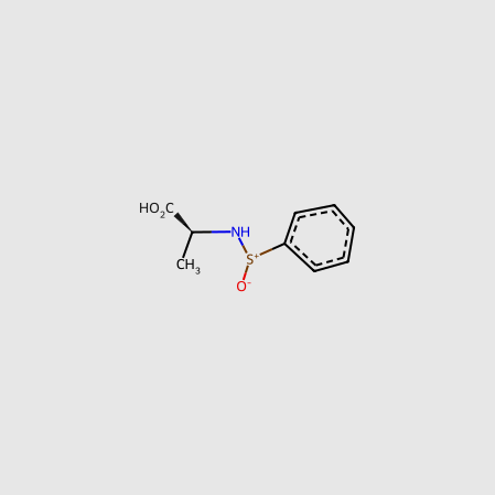 C[C@H](N[S+]([O-])c1ccccc1)C(=O)O